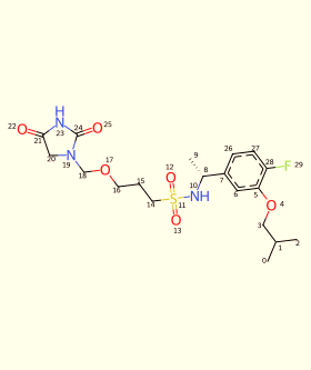 CC(C)COc1cc([C@@H](C)NS(=O)(=O)CCCOCN2CC(=O)NC2=O)ccc1F